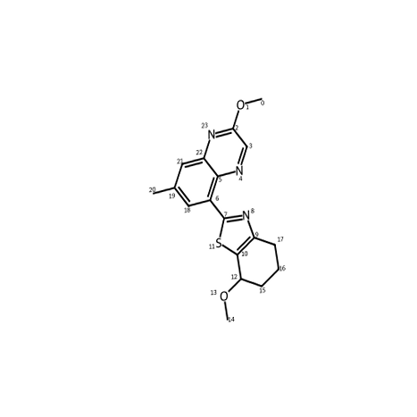 COc1cnc2c(-c3nc4c(s3)C(OC)CCC4)cc(C)cc2n1